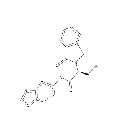 CC(C)C[C@@H](C(=O)Nc1ccc2cc[nH]c2c1)N1Cc2ccccc2C1=O